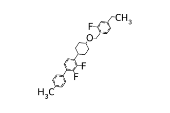 CCc1ccc(COC2CCC(c3ccc(-c4ccc(C)cc4)c(F)c3F)CC2)c(F)c1